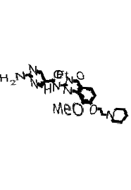 CCn1c(NC(=O)c2cnc(N)nc2)nc2c(OC)c(OCCN3CCCCC3)ccc2c1=O